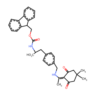 CC(NCc1ccc(CC(NC(=O)OCC2c3ccccc3-c3ccccc32)C(=O)O)cc1)=C1C(=O)CC(C)(C)CC1=O